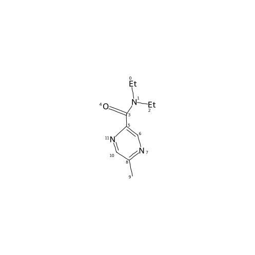 CCN(CC)C(=O)c1cnc(C)cn1